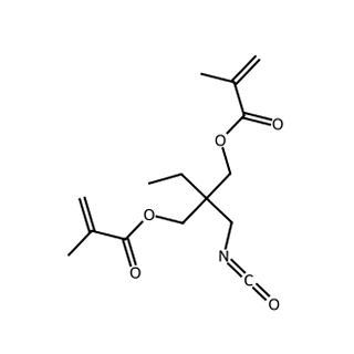 C=C(C)C(=O)OCC(CC)(CN=C=O)COC(=O)C(=C)C